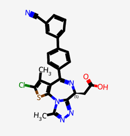 Cc1c(Cl)sc2c1C(c1ccc(-c3cccc(C#N)c3)cc1)=N[C@@H](CC(=O)O)c1nnc(C)n1-2